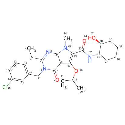 CCC1=NC2C(C(=O)N1Cc1cccc(Cl)c1)C(OC(C)C)=C(C(=O)N[C@H]1CCCC[C@@H]1O)N2C